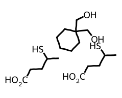 CC(S)CCC(=O)O.CC(S)CCC(=O)O.OCC1(CO)CCCCC1